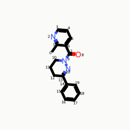 Cc1ncccc1C(=O)N1CCCC(c2ccccc2)=N1